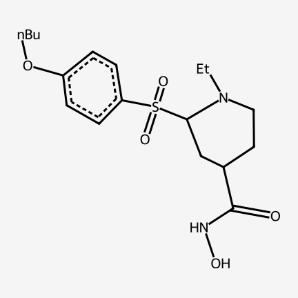 CCCCOc1ccc(S(=O)(=O)C2CC(C(=O)NO)CCN2CC)cc1